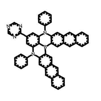 c1ccc(N2c3cc4cc5ccccc5cc4cc3B3c4cc5cc6ccccc6cc5cc4N(c4ccccc4)c4cc(-c5ncncn5)cc2c43)cc1